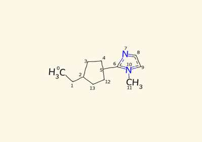 CCC1CCC(c2nccn2C)CC1